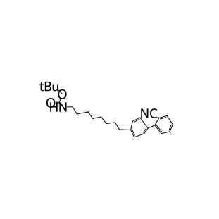 CC(C)(C)OC(=O)NCCCCCCCCc1ccc(-c2ccccc2C#N)cc1